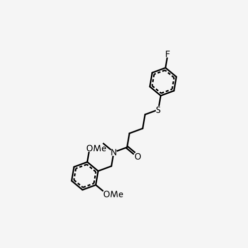 COc1cccc(OC)c1CN(C)C(=O)CCCSc1ccc(F)cc1